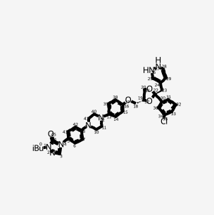 CCC(C)n1ncn(-c2ccc(N3CCN(c4ccc(OC[C@@H]5CO[C@](CC6=CNNC=C6)(c6cccc(Cl)c6)O5)cc4)CC3)cc2)c1=O